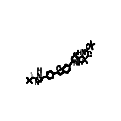 C[C@H](c1ncc(-c2ccc(-c3cc4ccc(-c5cnc([C@@H](NC(=O)OC(C)(C)C)C(C)(C)C)[nH]5)cc4o3)cc2)[nH]1)C(C)(C)C